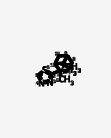 CC1(c2nncs2)CCC2CC1C2(C)C